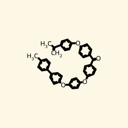 C=C(C)c1ccc(Oc2ccc(C(=O)c3ccc(Oc4ccc(Oc5ccc(-c6ccc(C)cc6)cc5)cc4)cc3)cc2)cc1